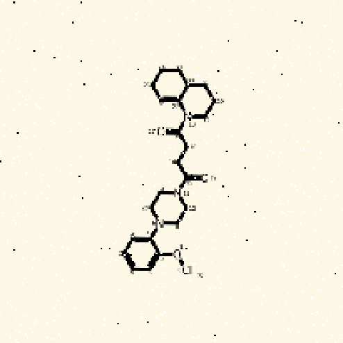 COc1ccccc1N1CCN(C(=O)CCC(=O)N2CCCC3CCCC=C32)CC1